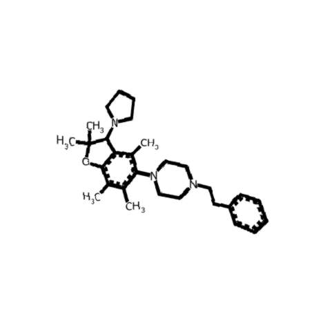 Cc1c(C)c(N2CCN(CCc3ccccc3)CC2)c(C)c2c1OC(C)(C)C2N1CCCC1